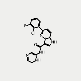 O=C(NC1=CN=CCN1)C1=CNC2C=CC(c3cccc(F)c3Cl)=NN12